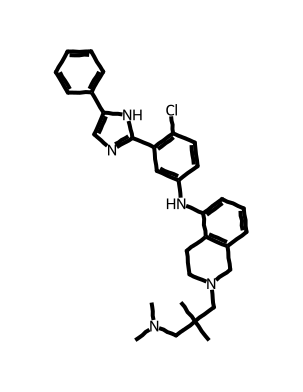 CN(C)CC(C)(C)CN1CCc2c(cccc2Nc2ccc(Cl)c(-c3ncc(-c4ccccc4)[nH]3)c2)C1